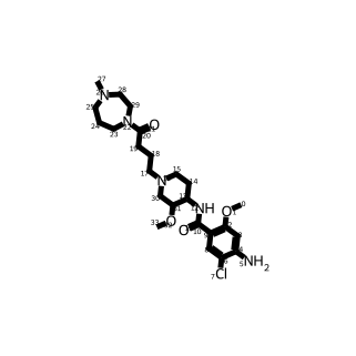 COc1cc(N)c(Cl)cc1C(=O)NC1CCN(CCCC(=O)N2CCCN(C)CC2)CC1OC